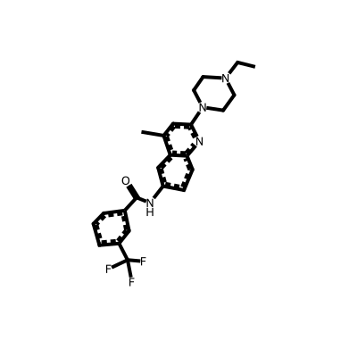 CCN1CCN(c2cc(C)c3cc(NC(=O)c4cccc(C(F)(F)F)c4)ccc3n2)CC1